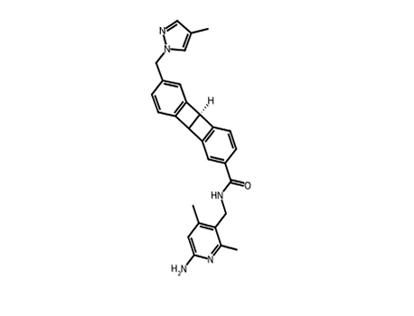 Cc1cnn(Cc2ccc3c(c2)[C@H]2c4ccc(C(=O)NCc5c(C)cc(N)nc5C)cc4C32)c1